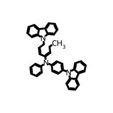 CC/C=C(\C=C/Cn1c2ccccc2c2ccccc21)N(c1ccccc1)c1ccc(-n2c3ccccc3c3ccccc32)cc1